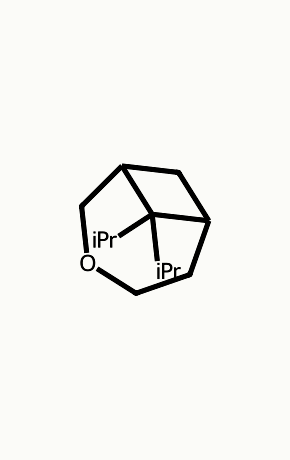 CC(C)C1(C(C)C)C2CCOCC1C2